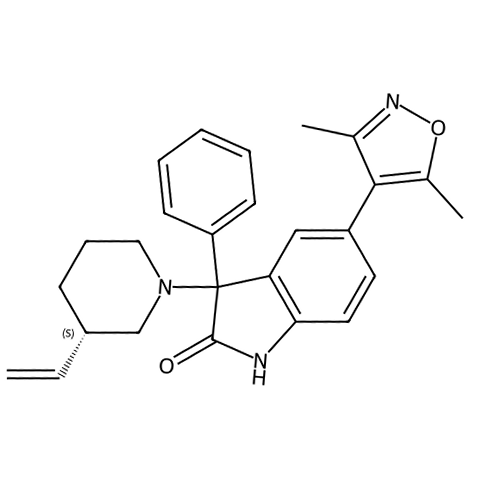 C=C[C@@H]1CCCN(C2(c3ccccc3)C(=O)Nc3ccc(-c4c(C)noc4C)cc32)C1